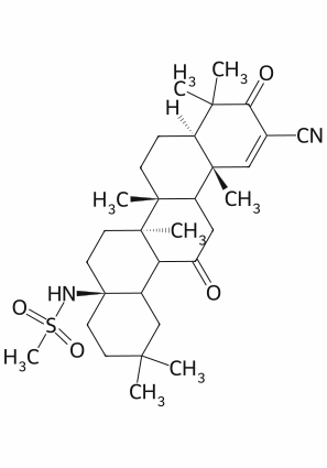 CC1(C)CC[C@]2(NS(C)(=O)=O)CC[C@]3(C)C(C(=O)CC4[C@@]5(C)C=C(C#N)C(=O)C(C)(C)[C@@H]5CC[C@]43C)C2C1